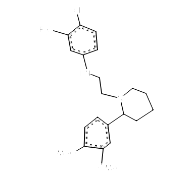 COc1ccc(C2CCCCN2CCNc2ccc(Cl)c(C(F)(F)F)c2)cc1OC